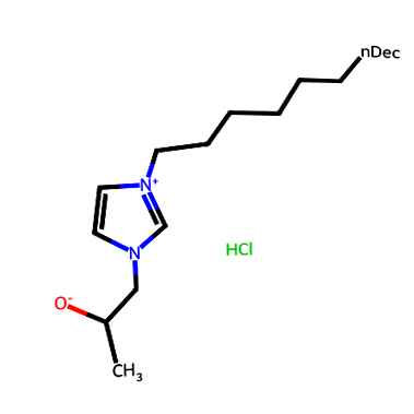 CCCCCCCCCCCCCCCC[n+]1ccn(CC(C)[O-])c1.Cl